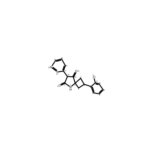 O=C1NC2(CC(c3ccccc3Cl)C2)C(=O)C1c1cccnn1